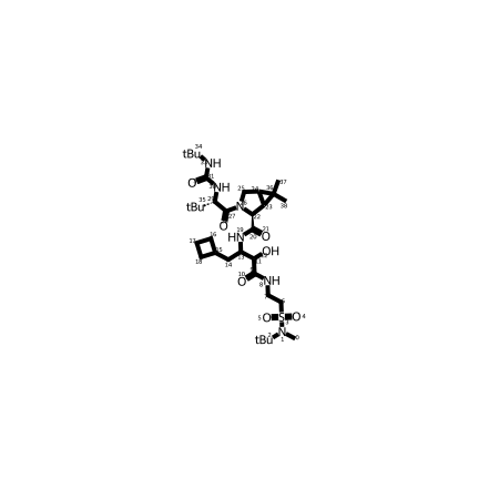 CN(C(C)(C)C)S(=O)(=O)CCNC(=O)C(O)C(CC1CCC1)NC(=O)[C@@H]1C2C(CN1C(=O)[C@@H](NC(=O)NC(C)(C)C)C(C)(C)C)C2(C)C